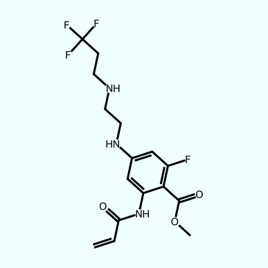 C=CC(=O)Nc1cc(NCCNCCC(F)(F)F)cc(F)c1C(=O)OC